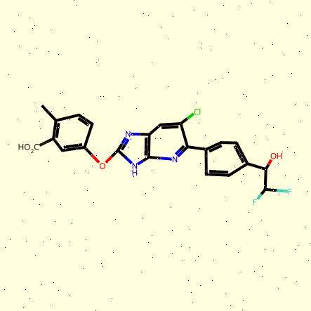 Cc1ccc(Oc2nc3cc(Cl)c(-c4ccc(C(O)C(F)F)cc4)nc3[nH]2)cc1C(=O)O